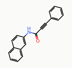 O=C(C#Cc1ccccc1)Nc1ccc2ccccc2c1